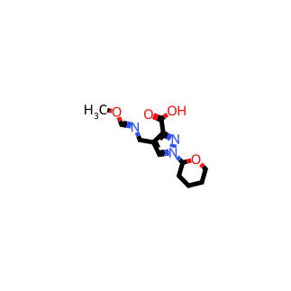 CO/C=N/Cc1cn(C2CCCCO2)nc1C(=O)O